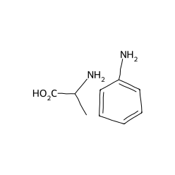 CC(N)C(=O)O.Nc1ccccc1